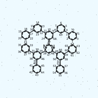 c1ccc(-c2cccc(-c3cc(-c4cccc(-c5ccccc5)c4)cc(-c4nc(-c5cc(-c6ccccc6)cc(-c6ccccc6)c5)cc(-c5cc(-c6ccccc6)cc(-c6ccccc6)c5)n4)c3)c2)cc1